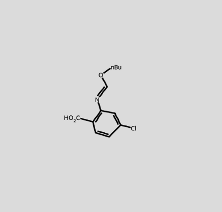 CCCCOC=Nc1cc(Cl)ccc1C(=O)O